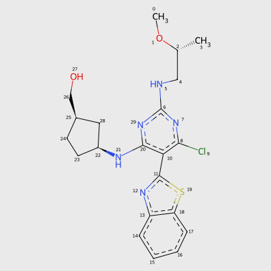 CO[C@H](C)CNc1nc(Cl)c(-c2nc3ccccc3s2)c(N[C@H]2CC[C@@H](CO)C2)n1